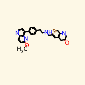 COc1ccc2nccc(-c3ccc(CCNCC4=CC5=C(CS4)N=CC(=O)C5)cc3)c2n1